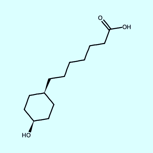 O=C(O)CCCCCC[C@H]1CC[C@@H](O)CC1